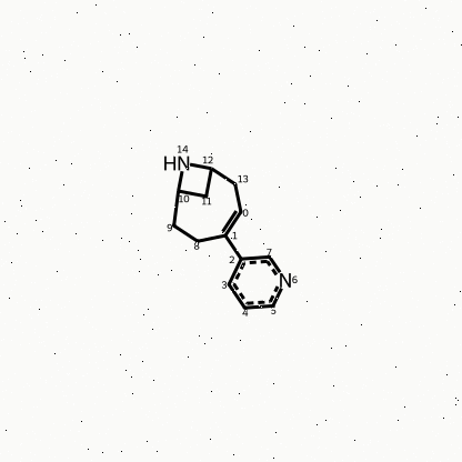 C1=C(c2cccnc2)CCC2CC(C1)N2